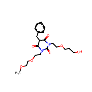 COCCOCCN1C(=O)C(Cc2ccccc2)C(=O)N(CCOCCCO)C1=O